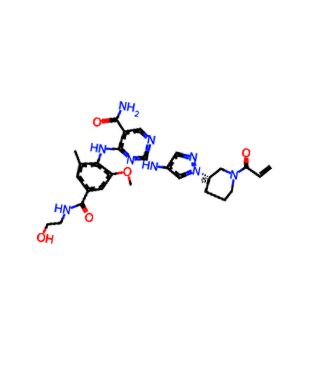 C=CC(=O)N1CCC[C@H](n2cc(Nc3ncc(C(N)=O)c(Nc4c(C)cc(C(=O)NCCO)cc4OC)n3)cn2)C1